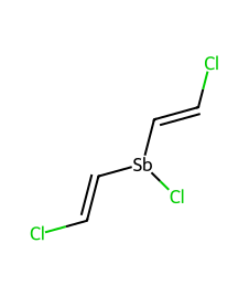 ClC=[CH][Sb]([Cl])[CH]=CCl